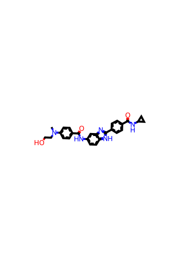 CN(CCO)c1ccc(C(=O)Nc2ccc3[nH]c(-c4ccc(C(=O)NC5CC5)cc4)nc3c2)cc1